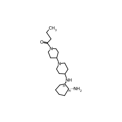 CCCC(=O)N1CCC(N2CCC(N[C@@H]3CCCC[C@H]3N)CC2)CC1